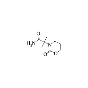 CC(C)(C(N)=O)N1CCCOC1=O